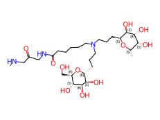 CNCC(=O)CNC(=O)CCCCCN(CCC[C@@H]1O[C@@H](C)[C@@H](O)[C@@H](O)[C@@H]1O)CCC[C@H]1O[C@H](CO)[C@@H](O)[C@H](O)[C@@H]1O